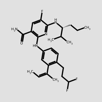 C/C=C(/C)c1cc(Nc2nc(N[C@H](CCC)C(C)C)c(F)cc2C(N)=O)ccc1CCC(F)F